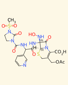 CC(=O)OCC1=C(C(=O)O)N2C(=O)[C@@](NO)(NC(=O)C(NC(=O)N3CCN(S(C)(=O)=O)C3=O)c3cccnc3)[C@@H]2SC1